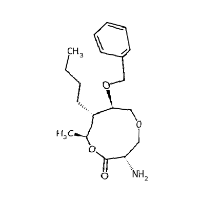 CCCC[C@H]1[C@H](C)OC(=O)[C@@H](N)COC[C@@H]1OCc1ccccc1